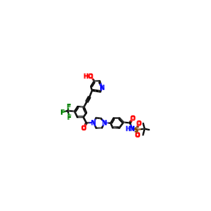 CC(C)(C)S(=O)(=O)NC(=O)c1ccc(N2CCN(C(=O)c3cc(C#Cc4cncc(O)c4)cc(C(F)(F)F)c3)CC2)cc1